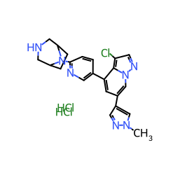 Cl.Cl.Cn1cc(-c2cc(-c3ccc(N4C5CCC4CNC5)nc3)c3c(Cl)cnn3c2)cn1